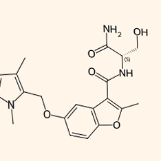 Cc1cnn(C)c1COc1ccc2oc(C)c(C(=O)N[C@@H](CO)C(N)=O)c2c1